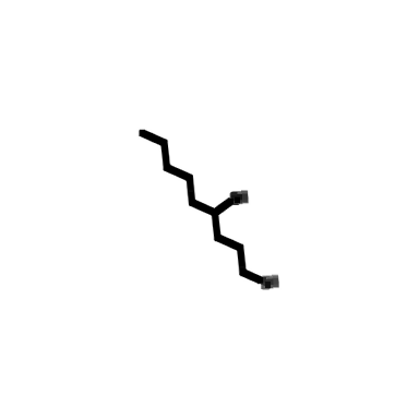 CCCCCC(S)CCCS